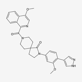 COc1cc(N2CCC3(CCN(C(=O)c4ncc(OC)c5ccccc45)CC3)C2=O)ccc1-c1cn[nH]c1